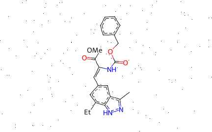 CCc1cc(C=C(NC(=O)OCc2ccccc2)C(=O)OC)cc2c(C)n[nH]c12